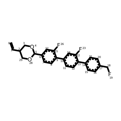 C=CC1COC(c2ccc(-c3ccc(-c4ccc(CF)cc4)c(F)c3)c(F)c2)OC1